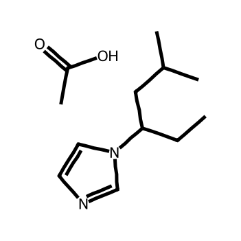 CC(=O)O.CCC(CC(C)C)n1ccnc1